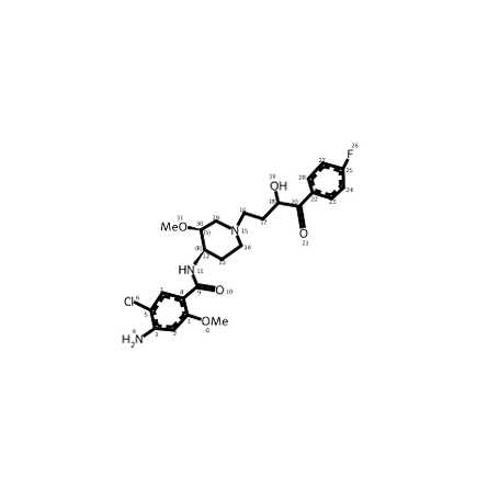 COc1cc(N)c(Cl)cc1C(=O)N[C@@H]1CCN(CCC(O)C(=O)c2ccc(F)cc2)C[C@@H]1OC